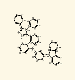 c1ccc(-c2nnc(-c3cccc4c3c3ccccc3n4-c3cccc(-n4c5ccccc5c5ccccc54)c3)n2-c2ccccc2)cc1